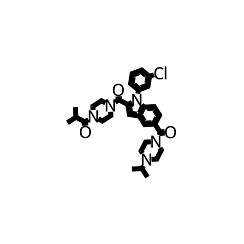 CC(C)C(=O)N1CCN(C(=O)c2cc3cc(C(=O)N4CCN(C(C)C)CC4)ccc3n2-c2cccc(Cl)c2)CC1